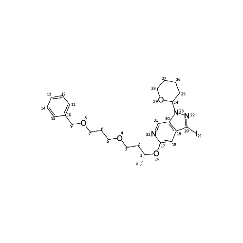 C[C@H](CCOCCCOCc1ccccc1)Oc1cc2c(I)nn(C3CCCCO3)c2cn1